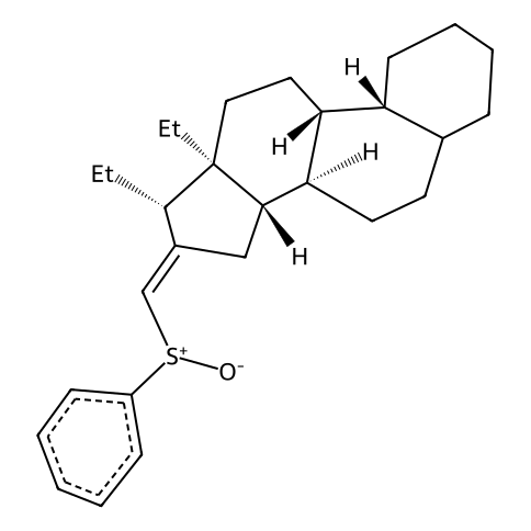 CC[C@H]1C(=C[S+]([O-])c2ccccc2)C[C@H]2[C@@H]3CCC4CCCC[C@H]4[C@H]3CC[C@]12CC